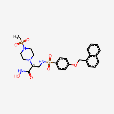 CS(=O)(=O)N1CCN([C@@H](CNS(=O)(=O)c2ccc(OCc3cccc4ccccc34)cc2)C(=O)NO)CC1